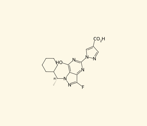 C[C@H](C1CCCCC1)n1nc(F)c2nc(-n3cc(C(=O)O)cn3)nc(O)c21